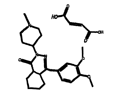 COc1ccc(C2=NN(C3CCN(C)CC3)C(=O)C3CCCCC23)cc1OC.O=C(O)C=CC(=O)O